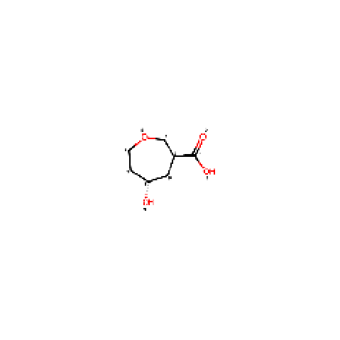 O=C(O)[C@@H]1COCC[C@@H](O)C1